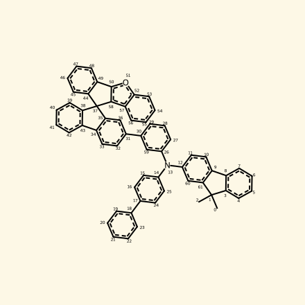 CC1(C)c2ccccc2-c2ccc(N(c3ccc(-c4ccccc4)cc3)c3cccc(-c4ccc5c(c4)C4(c6ccccc6-5)c5ccccc5-c5oc6ccccc6c54)c3)cc21